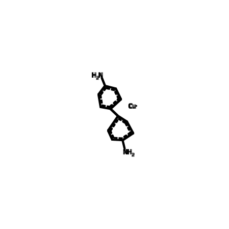 Nc1ccc(-c2ccc(N)cc2)cc1.[Cu]